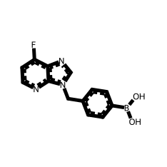 OB(O)c1ccc(Cn2cnc3c(F)ccnc32)cc1